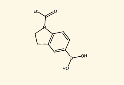 CCC(=O)N1CCc2cc(B(O)O)ccc21